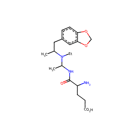 CCN(C(C)Cc1ccc2c(c1)OCO2)C(C)NC(=O)C(N)CCC(=O)O